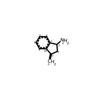 C=C1CC(N)c2ccccc21